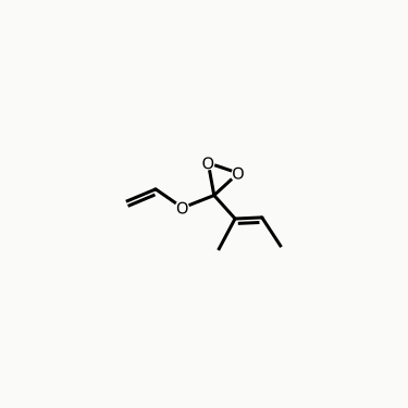 C=COC1(C(C)=CC)OO1